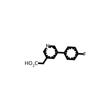 O=C(O)Cc1cncc(-c2ccc(F)cc2)c1